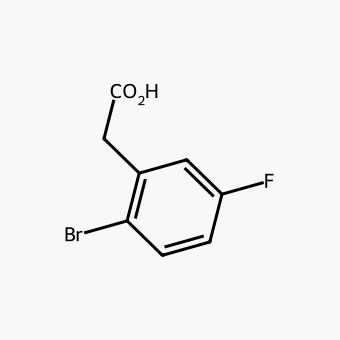 O=C(O)Cc1cc(F)ccc1Br